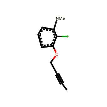 CC#CCOc1cccc(NC)c1F